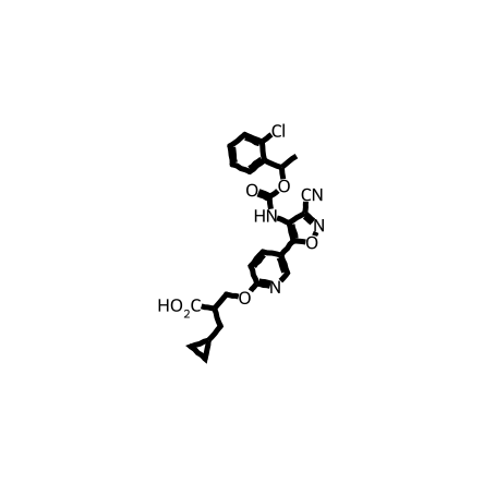 CC(OC(=O)Nc1c(C#N)noc1-c1ccc(OCC(CC2CC2)C(=O)O)nc1)c1ccccc1Cl